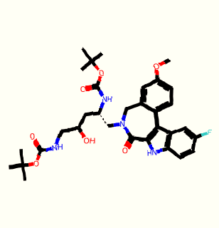 COc1ccc2c(c1)CN(C[C@H](CC(O)CNC(=O)OC(C)(C)C)NC(=O)OC(C)(C)C)C(=O)c1[nH]c3ccc(F)cc3c1-2